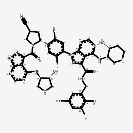 N#CC1C[C@H](c2cc(F)c(-n3nc(C(=O)NCc4cc(F)cc(Cl)c4Cl)c4c(N[C@@H]5COCC[C@H]5O)ncnc43)cc2F)N(C(=O)c2n[nH]c3ncnc(N[C@@H]4COC[C@H]4O)c23)C1